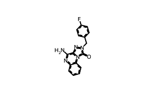 Nc1nc2ccccc2n2c(=O)n(Cc3ccc(F)cc3)nc12